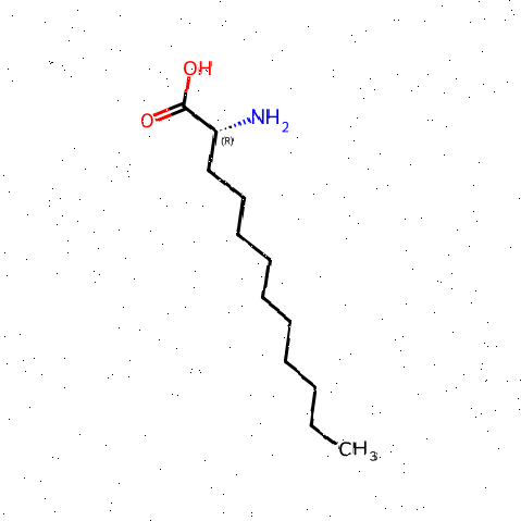 CCCCCCCCCC[C@@H](N)C(=O)O